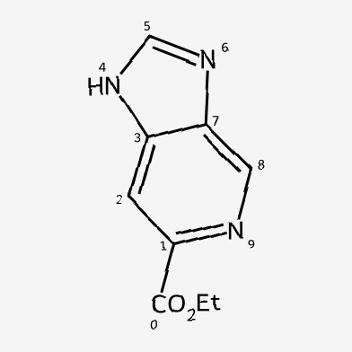 CCOC(=O)c1cc2[nH]cnc2cn1